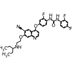 CCC(CC)NCCOc1cc2nccc(Oc3ccc(NC(=O)Nc4ccc(F)cc4F)c(F)c3)c2cc1C#N